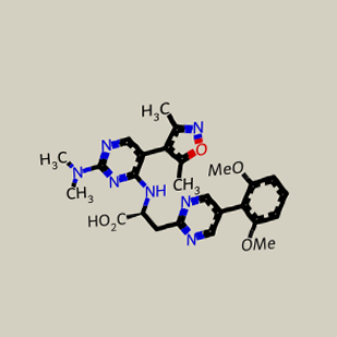 COc1cccc(OC)c1-c1cnc(C[C@H](Nc2nc(N(C)C)ncc2-c2c(C)noc2C)C(=O)O)nc1